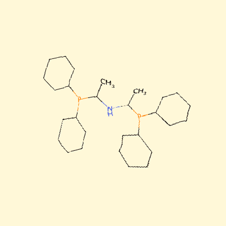 CC(NC(C)P(C1CCCCC1)C1CCCCC1)P(C1CCCCC1)C1CCCCC1